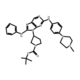 CN1CCN(c2ccc(Nc3ncc4nc(Nc5ccccc5)n(C5CCN(C(=O)OC(C)(C)C)C5)c4n3)cc2)CC1